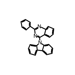 c1ccc(-c2nc(-n3c4ccccc4c4ccccc43)c3ccccc3n2)cc1